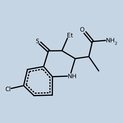 CCC1C(=S)c2cc(Cl)ccc2NC1C(C)C(N)=O